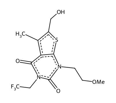 COCCn1c(=O)n(CC(F)(F)F)c(=O)c2c(C)c(CO)sc21